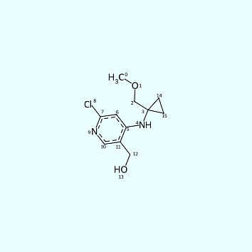 COCC1(Nc2cc(Cl)ncc2CO)CC1